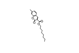 CCCCCCCCOC(=O)c1cc2ccc(C)cc2oc1=O